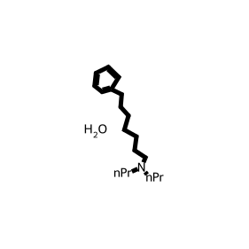 CCCN(CCC)CCCCCCCc1ccccc1.O